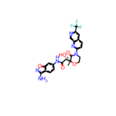 C[C@]1([C@@H](O)C(=O)Nc2ccc3c(N)noc3c2)OCCN(c2ccc3cc(C(F)(F)F)ncc3n2)C1=O